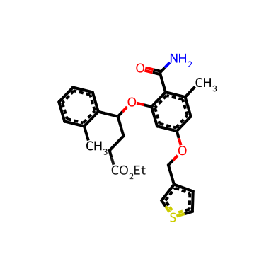 CCOC(=O)CCC(Oc1cc(OCc2ccsc2)cc(C)c1C(N)=O)c1ccccc1C